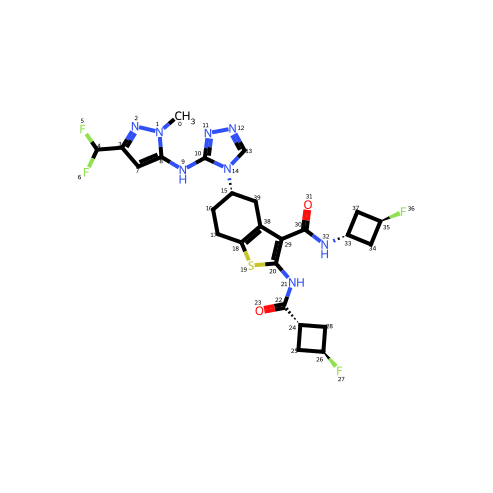 Cn1nc(C(F)F)cc1Nc1nncn1[C@H]1CCc2sc(NC(=O)[C@H]3C[C@H](F)C3)c(C(=O)N[C@H]3C[C@H](F)C3)c2C1